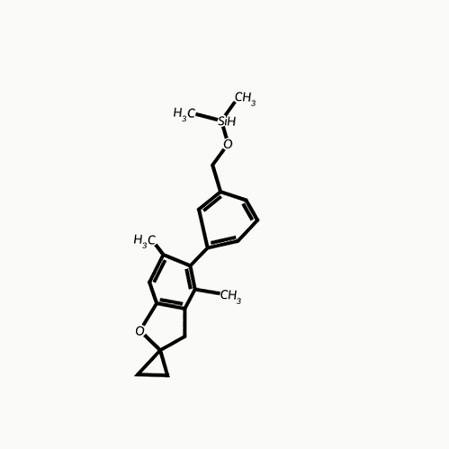 Cc1cc2c(c(C)c1-c1cccc(CO[SiH](C)C)c1)CC1(CC1)O2